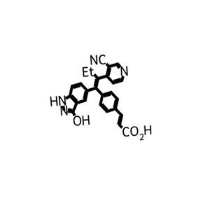 CC/C(=C(/c1ccc(/C=C/C(=O)O)cc1)c1ccc2[nH]nc(O)c2c1)c1ccncc1C#N